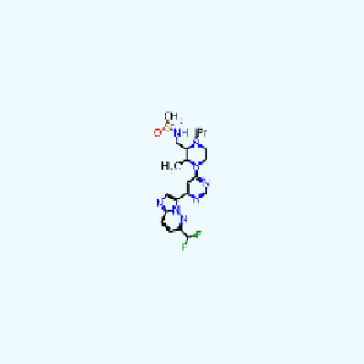 CC1C(CN[S+](C)[O-])N(C(C)C)CCN1c1cc(-c2cnc3ccc(C(F)F)nn23)ncn1